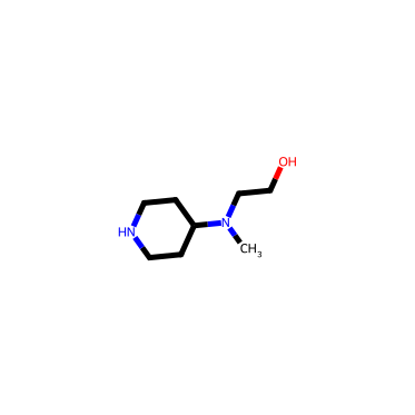 CN(CCO)C1CCNCC1